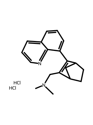 CN(C)CC1=C(c2cccc3cccnc23)C2CCC1C2.Cl.Cl